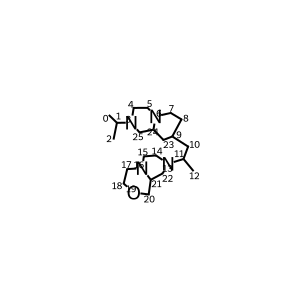 CC(C)N1CCN2CCC(CC(C)N3CCN4CCOCC4C3)CC2C1